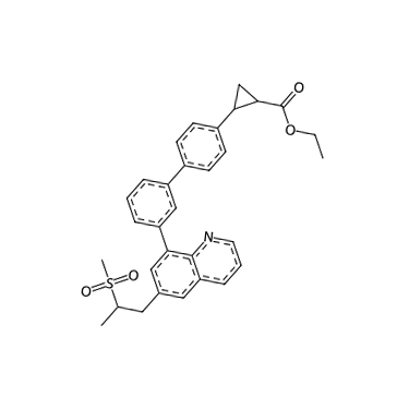 CCOC(=O)C1CC1c1ccc(-c2cccc(-c3cc(CC(C)S(C)(=O)=O)cc4cccnc34)c2)cc1